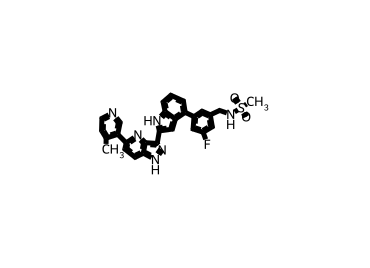 Cc1ccncc1-c1ccc2[nH]nc(-c3cc4c(-c5cc(F)cc(CNS(C)(=O)=O)c5)cccc4[nH]3)c2n1